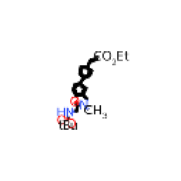 CCOC(=O)/C=C/c1ccc(-c2cccc(CN(C)C(=O)CNC(=O)OC(C)(C)C)c2)cc1